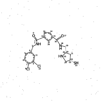 O=C(NCc1ccc(Cl)c(Cl)c1)c1ccc(C(=O)NC[C@@H]2C[C@H](S)CN2)s1